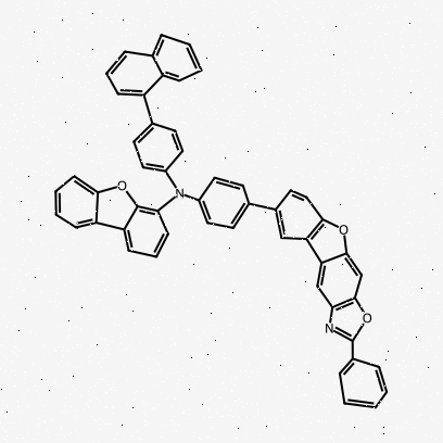 c1ccc(-c2nc3cc4c(cc3o2)oc2ccc(-c3ccc(N(c5ccc(-c6cccc7ccccc67)cc5)c5cccc6c5oc5ccccc56)cc3)cc24)cc1